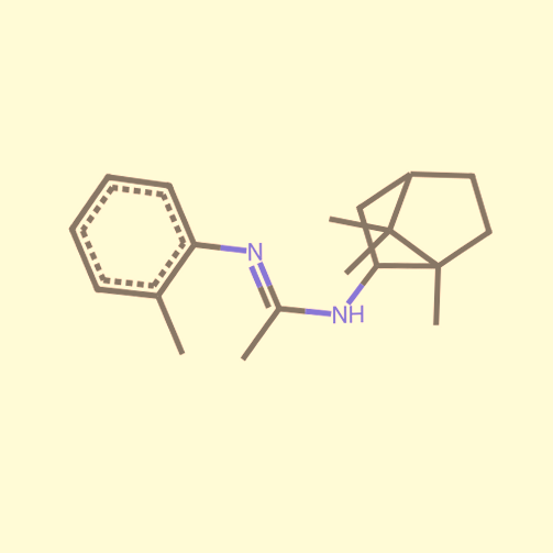 CC(=Nc1ccccc1C)NC1CC2CCC1(C)C2(C)C